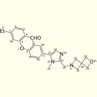 CCc1ccc(C=O)c(Oc2ccc(-c3cnc(CN4CC5(COC5)C4)n3C)cc2)c1